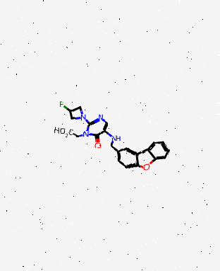 O=C(O)Cn1c(N2CC(F)C2)ncc(NCc2ccc3oc4ccccc4c3c2)c1=O